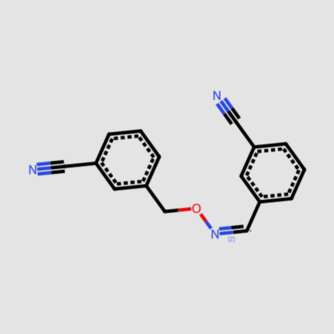 N#Cc1cccc(/[C]=N\OCc2cccc(C#N)c2)c1